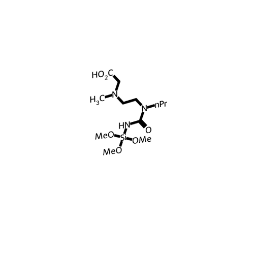 CCCN(CCN(C)CC(=O)O)C(=O)N[Si](OC)(OC)OC